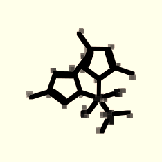 CC1=C[CH]([Hf]([Cl])([Cl])([CH]2C=C(C)C=C2C)[SiH](C)C)C(C)=C1